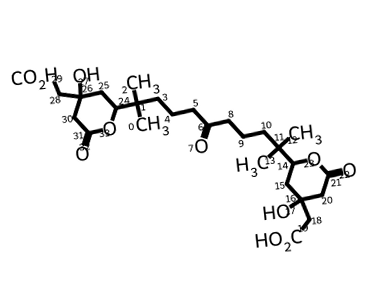 CC(C)(CCCC(=O)CCCC(C)(C)C1CC(O)(CC(=O)O)CC(=O)O1)C1CC(O)(CC(=O)O)CC(=O)O1